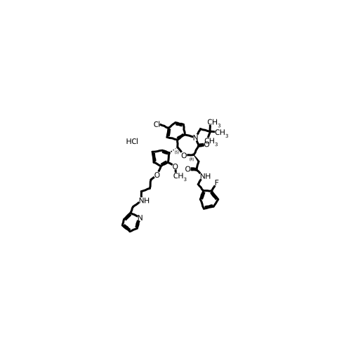 COc1c(OCCCNCc2ccccn2)cccc1[C@H]1O[C@H](CC(=O)NCc2ccccc2F)C(=O)N(CC(C)(C)C)c2ccc(Cl)cc21.Cl